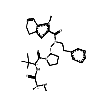 CN[C@@H](C)C(=O)N[C@H](C(=O)N1CCC[C@H]1CN(CCc1ccccc1)C(=O)c1cc2c(n1C)C=CCC2)C(C)(C)C